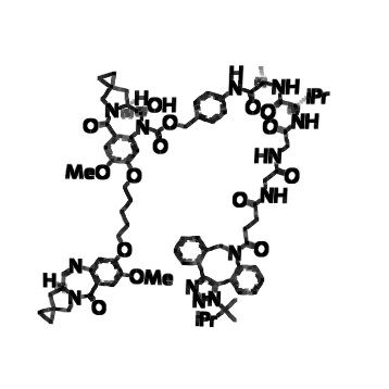 COc1cc2c(cc1OCCCCCOc1cc3c(cc1OC)C(=O)N1CC4(CC4)C[C@H]1[C@H](O)N3C(=O)OCc1ccc(NC(=O)[C@H](C)NC(=O)[C@@H](NC(=O)CNC(=O)CNC(=O)CCC(=O)N3Cc4ccccc4-c4nnn(C(C)(C)C(C)C)c4-c4ccccc43)C(C)C)cc1)N=C[C@@H]1CC3(CC3)CN1C2=O